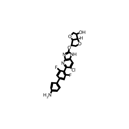 Nc1ccc(-c2cc(F)c(-c3nc4nc(OC5CO[C@@H]6C(O)COC56)[nH]c4cc3Cl)c(F)c2)cc1